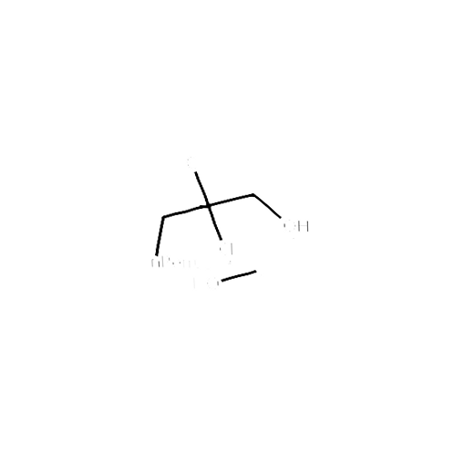 CCCCCCC(Cl)(Cl)CO.CO